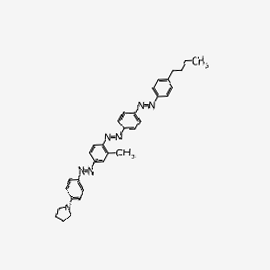 CCCCc1ccc(N=Nc2ccc(N=Nc3ccc(N=Nc4ccc(N5CCCC5)cc4)cc3C)cc2)cc1